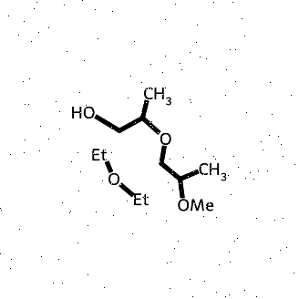 CCOCC.COC(C)COC(C)CO